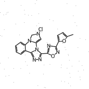 Cc1ccc(-c2noc(-c3nnc4n3C3=CN(Cl)CN3c3ccccc3-4)n2)o1